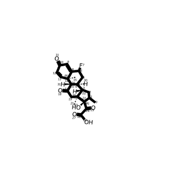 CC1C[C@H]2[C@@H]3CC(F)C4=CC(=O)C=C[C@]4(C)[C@H]3C(=O)C[C@]2(C)[C@@]1(O)C(=O)C(=O)O